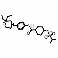 CCC1(CC)CN(c2ccc(NC(=O)C3CCC(NS(=O)(=O)C(C)C)CC3)cc2)CCO1